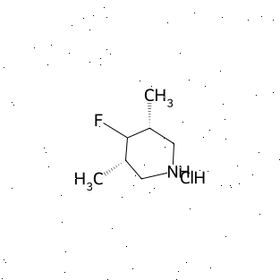 C[C@@H]1CNC[C@H](C)C1F.Cl